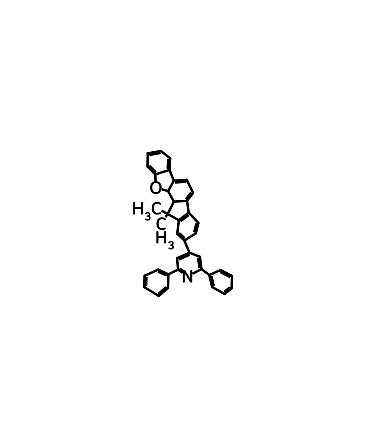 CC1(C)c2cc(-c3cc(-c4ccccc4)nc(-c4ccccc4)c3)ccc2C2=CC=C3c4ccccc4OC3C21